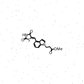 COC(=O)CCn1ccc2c(/C=C3\SC(=O)NC3=O)cccc21